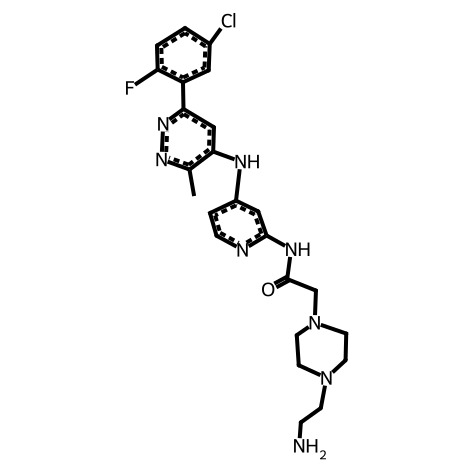 Cc1nnc(-c2cc(Cl)ccc2F)cc1Nc1ccnc(NC(=O)CN2CCN(CCN)CC2)c1